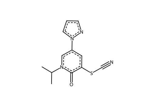 CC(C)n1cc(-n2cccn2)cc(SC#N)c1=O